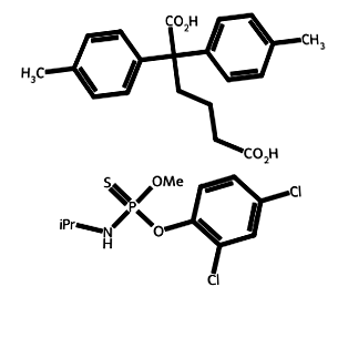 COP(=S)(NC(C)C)Oc1ccc(Cl)cc1Cl.Cc1ccc(C(CCCC(=O)O)(C(=O)O)c2ccc(C)cc2)cc1